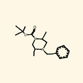 CC1CN(C(=O)OC(C)(C)C)C(C)CN1Cc1ccccc1